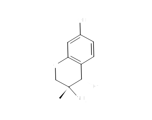 CC[C@H]1c2ccc(O)cc2OC[C@@]1(C)N